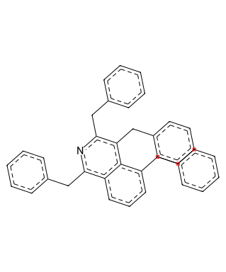 c1ccc(Cc2nc(Cc3ccccc3)c3cccc(Cc4ccccc4)c3c2Cc2ccccc2)cc1